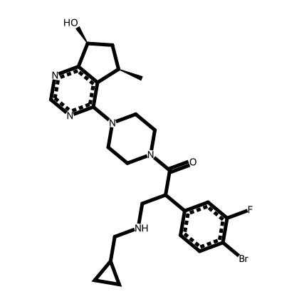 C[C@@H]1C[C@H](O)c2ncnc(N3CCN(C(=O)C(CNCC4CC4)c4ccc(Br)c(F)c4)CC3)c21